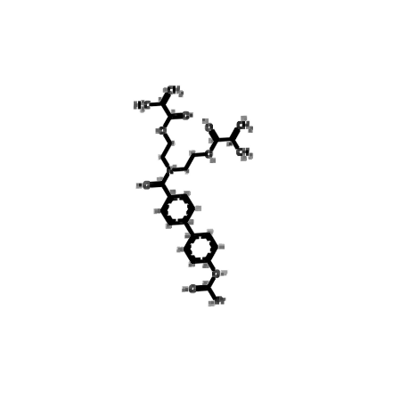 C=C(C)C(=O)OCCN(CCOC(=O)C(=C)C)C(=O)c1ccc(-c2ccc(OC(=O)C(C)C)cc2)cc1